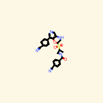 N#Cc1ccc(C(=O)N2CC(S(=O)(=O)C3CNc4cncc(-c5ccc(C#N)cc5)c4O3)C2)cc1